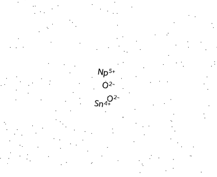 [Np+5].[O-2].[O-2].[Sn+4]